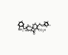 Nc1ccccc1CC(=O)NC1C(=O)N2C(C(=O)O)=C(CSc3nccs3)CS[C@@H]12